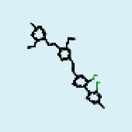 CCc1cc(C)ccc1CCc1ccc(CCc2ccc(-c3ccc(C)cc3F)c(F)c2)cc1CC